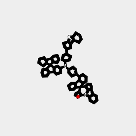 c1ccc2c(c1)-c1ccccc1C21c2ccccc2-c2ccc(N(c3ccc(-c4ccc5oc6ccccc6c5c4)cc3)c3ccc(-c4cccc5c4-c4ccccc4C54c5ccccc5-n5c6ccccc6c6cccc4c65)cc3)cc21